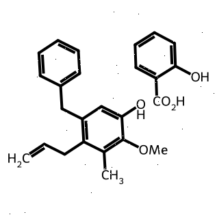 C=CCc1c(Cc2ccccc2)cc(O)c(OC)c1C.O=C(O)c1ccccc1O